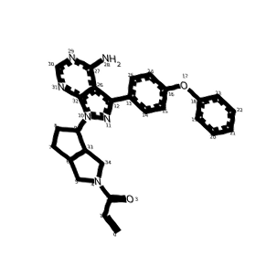 C=CC(=O)N1CC2CCC(n3nc(-c4ccc(Oc5ccccc5)cc4)c4c(N)ncnc43)C2C1